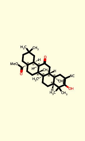 [C-]#[N+]C1=C(O)C(C)(C)[C@@H]2CC[C@]3(C)[C@H](CC(=O)[C@@H]4[C@@H]5CC(C)(C)CC[C@]5(C(=O)OC)CC[C@]43C)[C@@]2(C)C1